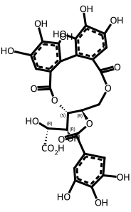 O=C(O[C@@H]1COC(=O)c2cc(O)c(O)c(O)c2-c2c(cc(O)c(O)c2O)C(=O)O[C@H]1[C@H](O)[C@@H](O)C(=O)O)c1cc(O)c(O)c(O)c1